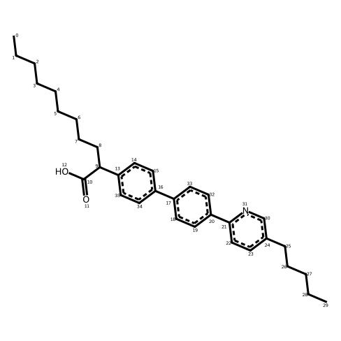 CCCCCCCCCC(C(=O)O)c1ccc(-c2ccc(-c3ccc(CCCCC)cn3)cc2)cc1